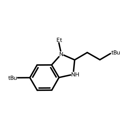 CCN1c2cc(C(C)(C)C)ccc2NC1CCC(C)(C)C